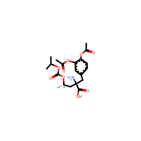 CC(=O)Oc1ccc(CC(N)(C[C@H](C)OC(=O)OC(C)C)C(=O)O)cc1OC(C)=O